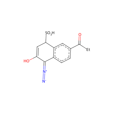 CCC(=O)c1ccc2c(c1)C(S(=O)(=O)O)C=C(O)C2=[N+]=[N-]